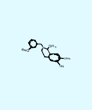 COc1cccc(CN2CCc3cc(O)c(OC)cc3C2C)c1